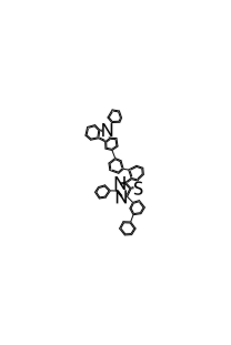 c1ccc(-c2cccc(-c3nc(-c4ccccc4)nc4c3sc3cccc(-c5cccc(-c6ccc7c(c6)c6ccccc6n7-c6ccccc6)c5)c34)c2)cc1